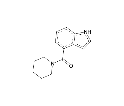 O=C(c1cccc2[nH]ccc12)N1CCCCC1